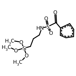 CO[Si](CCCNS(=O)(=O)C(=O)c1ccccc1)(OC)OC